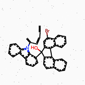 C=C/C=C\C(=C)n1c2ccccc2c2cccc(C3(O)c4ccc5ccccc5c4-c4c3cc(Br)c3ccccc43)c21